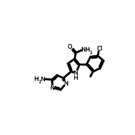 Cc1ccc(Cl)cc1-c1[nH]c(-c2cc(N)ncn2)cc1C(N)=O